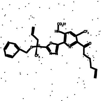 C=CCCCC(=O)c1nc(-c2nnc([C@@](CC=C)(OCc3ccccc3)C(F)(F)F)o2)c(NC(=O)O)cc1C(F)(F)F